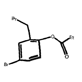 CCC(=O)Oc1ccc(Br)cc1CC(C)C